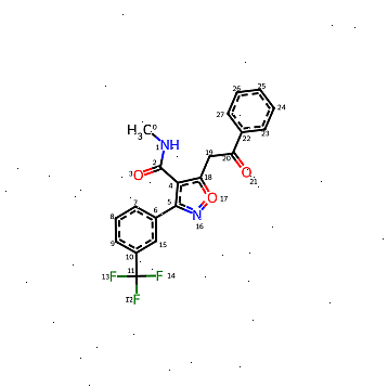 CNC(=O)c1c(-c2cccc(C(F)(F)F)c2)noc1CC(=O)c1ccccc1